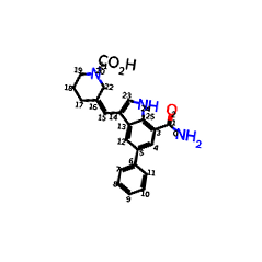 NC(=O)c1cc(-c2ccccc2)cc2c(/C=C3/CCCN(C(=O)O)C3)c[nH]c12